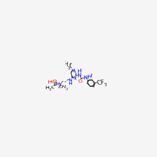 CB(O)N(C)CCCNc1cc(C)nc(NC(=O)Nc2cccc(C(F)(F)F)c2)n1